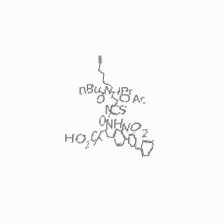 C#CCCCCN(C(=O)CCCC)C(CC(OC(C)=O)c1nc(C(=O)NC(Cc2ccc(OCc3ccccc3)c([N+](=O)[O-])c2)CC(C)(C)C(=O)O)cs1)C(C)C